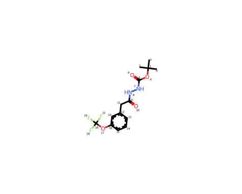 CC(C)(C)OC(=O)NNC(=O)Cc1cccc(OC(F)(F)F)c1